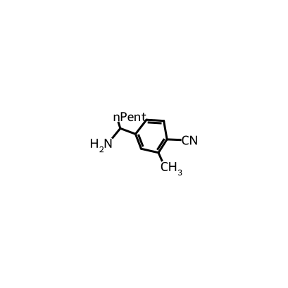 CCCCCC(N)c1ccc(C#N)c(C)c1